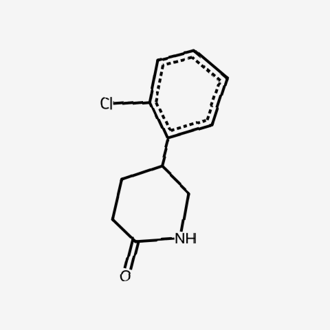 O=C1CCC(c2ccccc2Cl)CN1